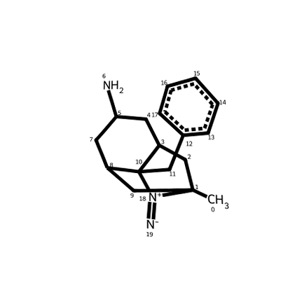 CC12CC3CC(N)CC(C1)C3(Cc1ccccc1)[N+]2=[N-]